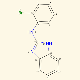 Brc1ccccc1Nc1nc2ccccc2[nH]1